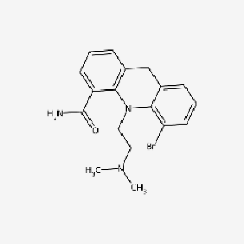 CN(C)CCN1c2c(Br)cccc2Cc2cccc(C(N)=O)c21